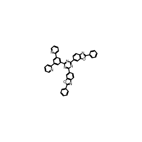 c1ccc(-c2nc3ccc(-c4nc(-c5cc(-c6ccccn6)cc(-c6ccccn6)c5)nc(-c5ccc6nc(-c7ccccc7)oc6c5)n4)cc3o2)cc1